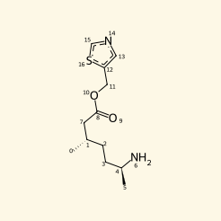 C[C@@H](CC[C@H](C)N)CC(=O)OCc1cncs1